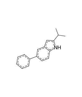 CC(C)c1cc2cc(-c3ccccc3)ccc2[nH]1